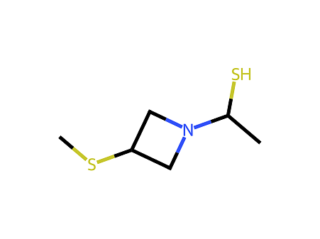 CSC1CN(C(C)S)C1